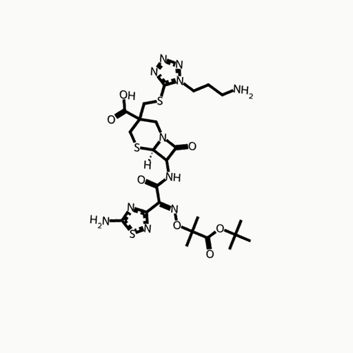 CC(C)(C)OC(=O)C(C)(C)ON=C(C(=O)NC1C(=O)N2CC(CSc3nnnn3CCCN)(C(=O)O)CS[C@H]12)c1nsc(N)n1